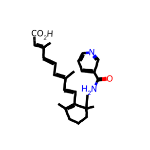 CC1=C(/C=C/C(C)=C/C=C/C(C)=C/C(=O)O)C(C)(C)CCC1.NC(=O)c1cccnc1